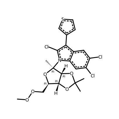 COOC[C@H]1O[C@@](C)(n2c(Cl)c(-c3ccsc3)c3cc(Cl)c(Cl)cc32)[C@@H]2OC(C)(C)O[C@@H]21